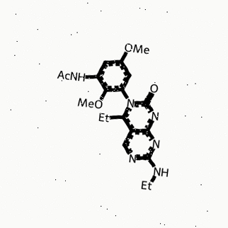 CCNc1ncc2c(CC)n(-c3cc(OC)cc(NC(C)=O)c3OC)c(=O)nc2n1